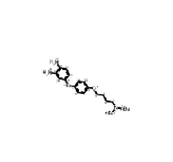 CCCCN(CCCC)CCCCOc1ccc(Oc2ccc(N)c(N)c2)cc1